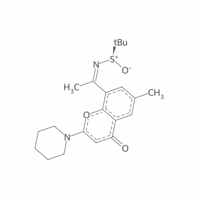 C/C(=N/[S@+]([O-])C(C)(C)C)c1cc(C)cc2c(=O)cc(N3CCCCC3)oc12